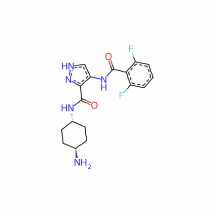 N[C@H]1CC[C@H](NC(=O)c2n[nH]cc2NC(=O)c2c(F)cccc2F)CC1